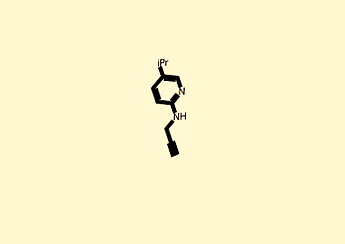 C#CCNc1ccc(C(C)C)cn1